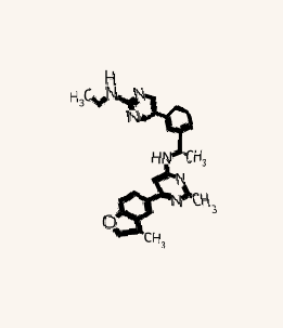 CCNc1ncc(-c2cccc([C@H](C)Nc3cc(-c4ccc5occ(C)c5c4)nc(C)n3)c2)cn1